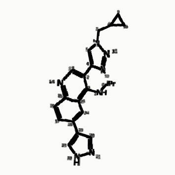 CC(C)Nc1c(-c2cn(CC3CC3)nn2)cnc2ccc(-c3cn[nH]c3)cc12